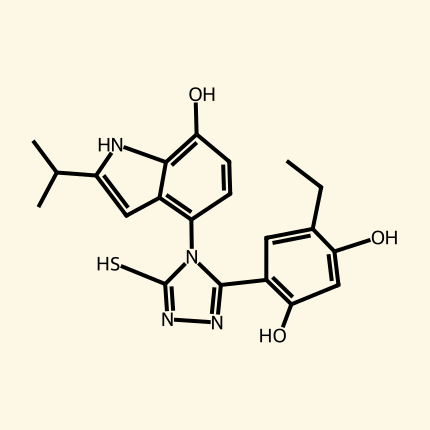 CCc1cc(-c2nnc(S)n2-c2ccc(O)c3[nH]c(C(C)C)cc23)c(O)cc1O